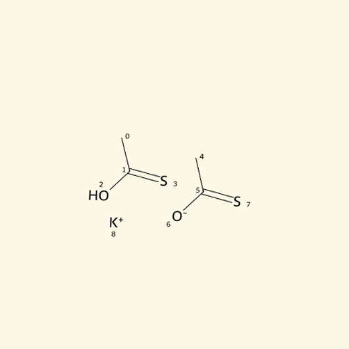 CC(O)=S.CC([O-])=S.[K+]